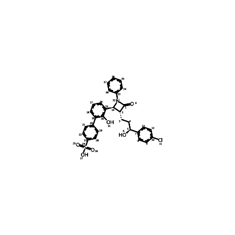 O=C1[C@H](CC[C@H](O)c2ccc(Cl)cc2)[C@@H](c2cccc(-c3ccc(S(=O)(=O)O)cc3)c2O)N1c1ccccc1